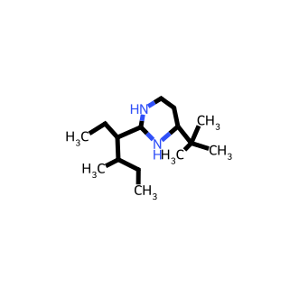 CCC(C)C(CC)C1NCCC(C(C)(C)C)N1